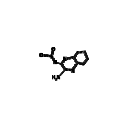 Nc1nc2ccccc2nc1N=S(=O)=O